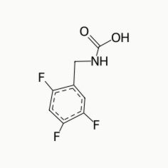 O=C(O)NCc1cc(F)c(F)cc1F